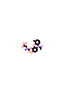 CC(=O)N1C2=CCC(=O)C(OC(=O)N(C)CC(=O)O)=C2OC2=C1C=CCC2C